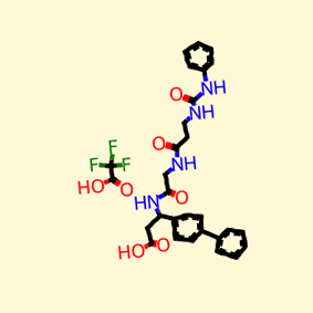 O=C(O)C(F)(F)F.O=C(O)CC(NC(=O)CNC(=O)CCNC(=O)Nc1ccccc1)c1ccc(-c2ccccc2)cc1